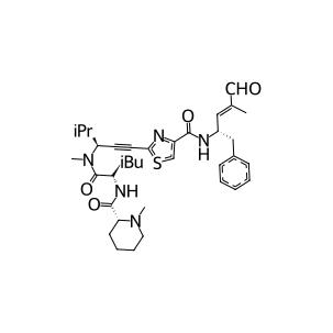 CC[C@H](C)[C@H](NC(=O)[C@H]1CCCCN1C)C(=O)N(C)[C@H](C#Cc1nc(C(=O)N[C@H](/C=C(\C)C=O)Cc2ccccc2)cs1)C(C)C